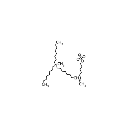 CCCCCCCCOS(=O)(=O)[O-].CCCCCCCC[N+](C)(CCCCCCCC)CCCCCCCC